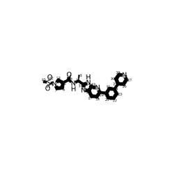 C[C@H](NC(=O)c1ccn(S(C)(=O)=O)c1)c1nc2ccc(-c3cccc(-c4ccncc4)c3)nc2[nH]1